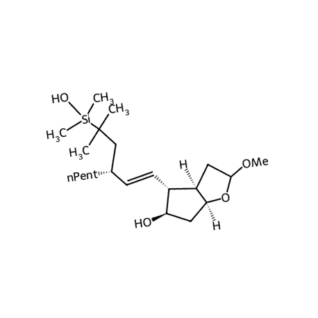 CCCCC[C@@H](/C=C/[C@@H]1[C@H]2CC(OC)O[C@H]2C[C@H]1O)CC(C)(C)[Si](C)(C)O